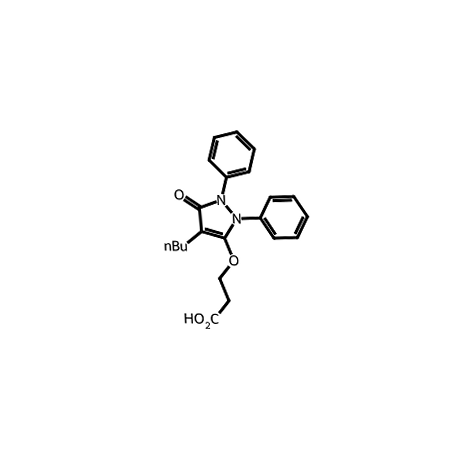 CCCCc1c(OCCC(=O)O)n(-c2ccccc2)n(-c2ccccc2)c1=O